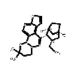 CC[C@@H]1C[C@]2(O)CC[C@@H](C2)[C@H]1C1=NN2CCC(C)(C)OB2c2cnc3[nH]ccc3c21